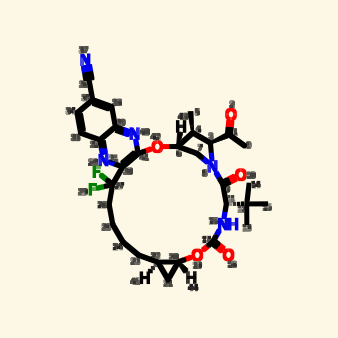 CC(=O)[C@@H]1[C@H](C)[C@@H]2CN1C(=O)[C@H](C(C)(C)C)NC(=O)O[C@@H]1C[C@H]1CCCCC(F)(F)c1nc3ccc(C#N)cc3nc1O2